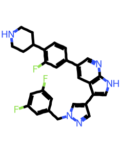 Fc1cc(F)cc(Cn2cc(-c3c[nH]c4ncc(-c5ccc(C6CCNCC6)c(F)c5)cc34)cn2)c1